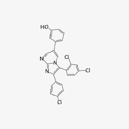 Oc1cccc(-c2cnc3nc(-c4ccc(Cl)cc4)c(-c4ccc(Cl)cc4Cl)n3c2)c1